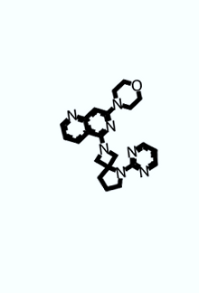 c1cnc(N2CCCC23CN(c2nc(N4CCOCC4)cc4ncccc24)C3)nc1